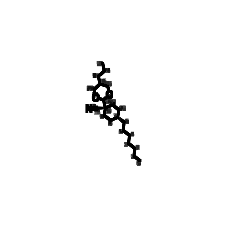 CCCCCCC[C@H]1CC[C@](C#N)(C2OCC(CCC)CO2)CC1